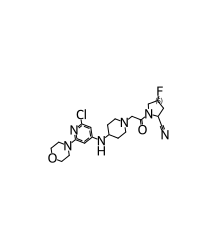 N#CC1C[C@H](F)CN1C(=O)CN1CCC(Nc2cc(Cl)nc(N3CCOCC3)c2)CC1